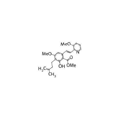 C=C(C)CCc1c(OC)cc(/C=C/c2ncccc2OC)c(C(=O)OC)c1O